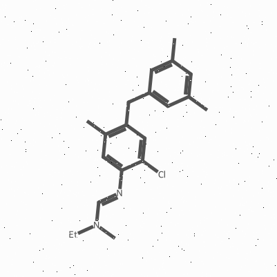 CCN(C)C=Nc1cc(C)c(Cc2cc(C)cc(C)c2)cc1Cl